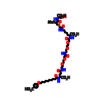 CN[C@@H](CSCC(=O)NCCCC[C@H](NC(=O)COCCOCCNC(=O)COCCOCCNC(=O)CC[C@@H](NC(=O)CCCCCCCCCOc1ccc(C(=O)O)cc1)C(=O)O)C(=O)O)C(=O)N[C@@H](CO)C(=O)O